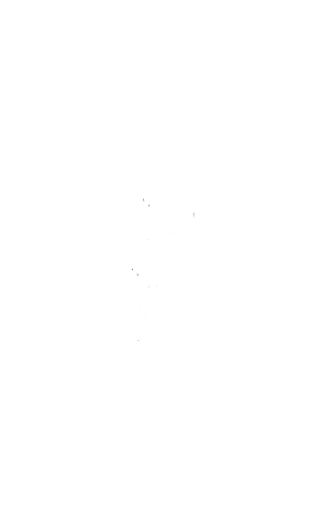 C=[N+]([O-])c1c(OC)ccc2c1C(C)(C)c1[nH]c3cc(Br)ccc3c1C2